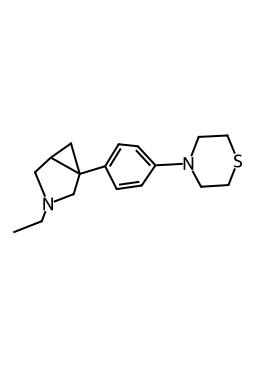 CCN1CC2CC2(c2ccc(N3CCSCC3)cc2)C1